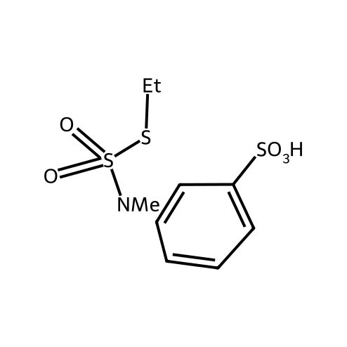 CCSS(=O)(=O)NC.O=S(=O)(O)c1ccccc1